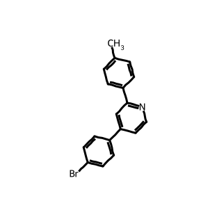 Cc1ccc(-c2cc(-c3ccc(Br)cc3)ccn2)cc1